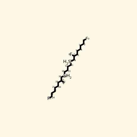 FCCCCCCC(F)C[SiH2]CCCC[SiH2]CC(F)CCCCCCF